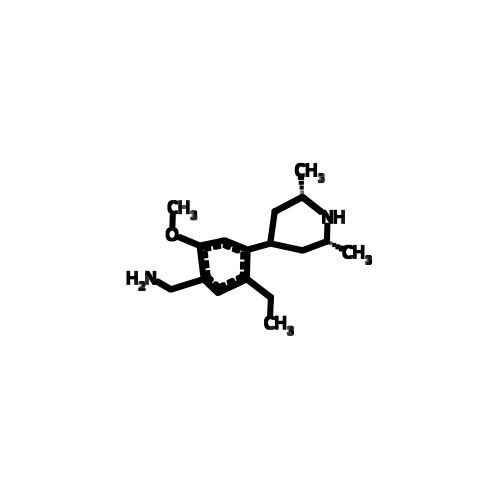 CCc1cc(CN)c(OC)cc1C1C[C@@H](C)N[C@@H](C)C1